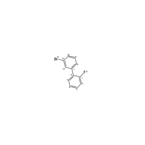 Fc1ccccc1-c1cc[c]c(Br)c1